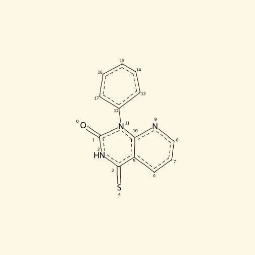 O=c1[nH]c(=S)c2cccnc2n1-c1ccccc1